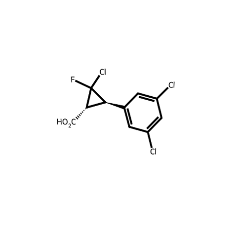 O=C(O)[C@H]1[C@H](c2cc(Cl)cc(Cl)c2)C1(F)Cl